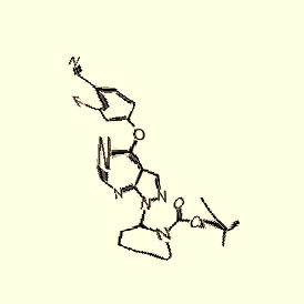 CC(C)(C)OC(=O)N1CCCCC1n1ncc2c(Oc3ccc(C#N)c(F)c3)ncnc21